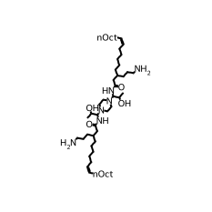 CCCCCCCC/C=C\CCCCCC(CCCN)CC(=O)NC(C(C)O)N1CCN(C(NC(=O)CC(CCCN)CCCCC/C=C\CCCCCCCC)C(C)O)CC1